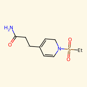 CCS(=O)(=O)N1C=CC([CH]CC(N)=O)=CC1